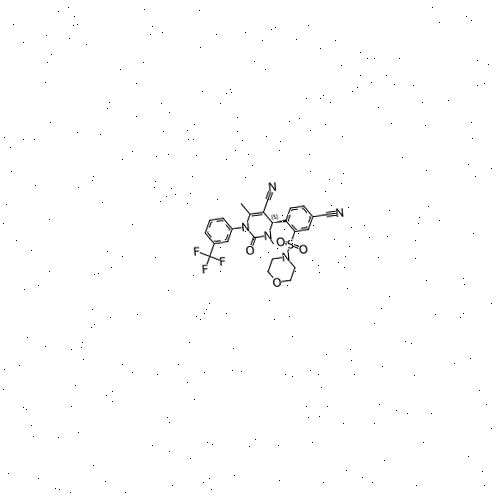 CC1=C(C#N)[C@@H](c2ccc(C#N)cc2S(=O)(=O)N2CCOCC2)N(C)C(=O)N1c1cccc(C(F)(F)F)c1